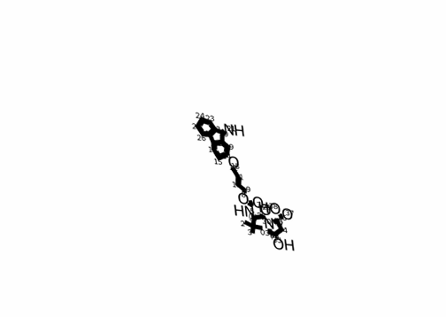 CC(C)(C)[C@H](NC(=O)OCC=CCOc1ccc2c(c1)C(=N)c1ccccc1-2)C(=O)N1C[C@H](O)C[C@H]1C(=O)O